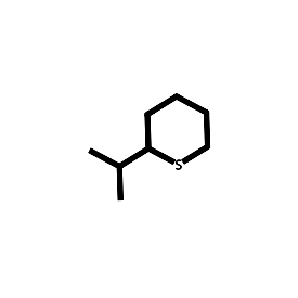 CC(C)C1CCCCS1